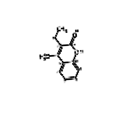 CCc1c(C)c2ccccc2oc1=O